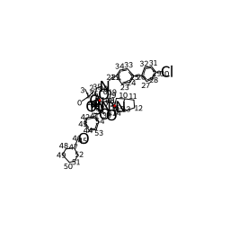 CC(C)(C)OC(=O)NC1CC2CCC(C1)N2C(=O)[C@@H]1CN(Cc2ccc(-c3ccc(Cl)cc3)cc2)CCN1S(=O)(=O)c1ccc(OCC2CCCCC2)cc1